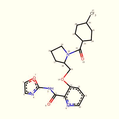 O=C(Nc1ncco1)c1ncccc1OCC1CCCN1C(=O)C1CCC(C(F)(F)F)CC1